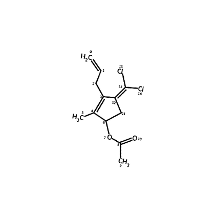 C=CCC1=C(C)C(OC(C)=O)CC1=C(Cl)Cl